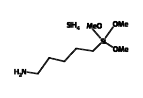 CO[Si](CCCCCN)(OC)OC.[SiH4]